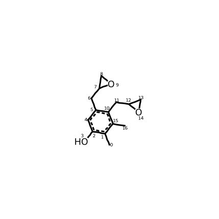 Cc1c(O)cc(CC2CO2)c(CC2CO2)c1C